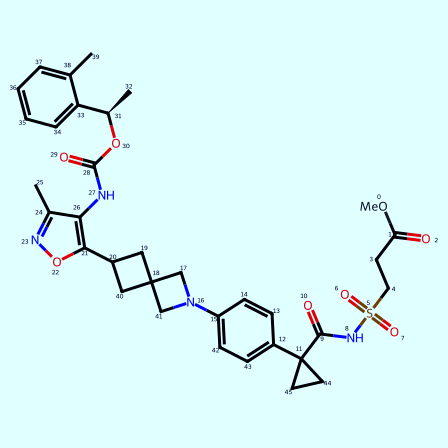 COC(=O)CCS(=O)(=O)NC(=O)C1(c2ccc(N3CC4(CC(c5onc(C)c5NC(=O)O[C@H](C)c5ccccc5C)C4)C3)cc2)CC1